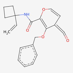 C=CC1(NC(=O)C2=C(OCc3ccccc3)C(=C=O)C=CO2)CCC1